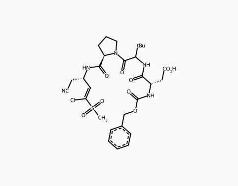 CC(C)(C)C(NC(=O)[C@H](CC(=O)O)NC(=O)OCc1ccccc1)C(=O)N1CCC[C@@H]1C(=O)N[C@H](/C=C(\Cl)S(C)(=O)=O)CC#N